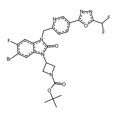 CC(C)(C)OC(=O)N1CC(n2c(=O)n(Cc3ccc(-c4nnc(C(F)F)o4)cn3)c3cc(F)c(Br)cc32)C1